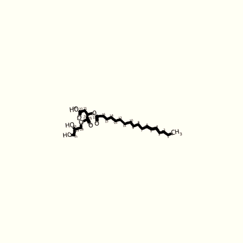 CCCCCCCCCCCCCCCCCC(=O)OC(CC(=O)O)C(=O)OCC(O)CO